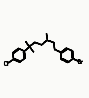 CC(CCc1ccc(Br)cc1)CCC(C)(C)c1ccc(Cl)cc1